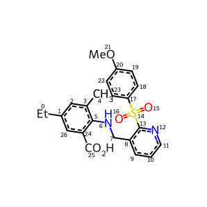 CCc1cc(C)c(NCc2cccnc2S(=O)(=O)c2ccc(OC)cc2)c(C(=O)O)c1